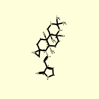 CC1(C)OC[C@@]2(C)[C@H]3CCC4(CO4)[C@@H](/C=C/C4=CCOC4=O)[C@]3(C)CC[C@H]2O1